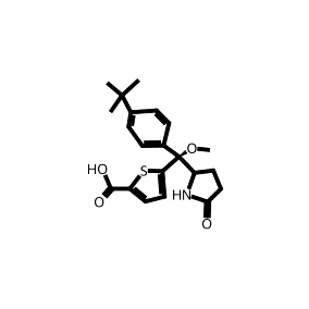 CO[C@](c1ccc(C(C)(C)C)cc1)(c1ccc(C(=O)O)s1)C1CCC(=O)N1